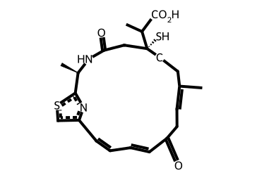 C/C1=C\CC(=O)/C=C/C=C\c2csc(n2)[C@@H](C)NC(=O)C[C@@](S)(C(C)C(=O)O)CC1